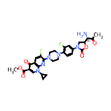 COC(=O)c1cn(C2CC2)c2nc(N3CCN(c4ccc(N5CC([C@H](N)C(C)=O)OC5=O)cc4F)CC3)c(F)cc2c1=O